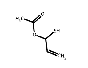 C=CC(S)OC(C)=O